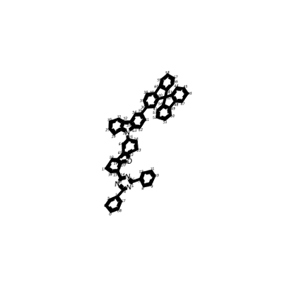 c1ccc(-c2nc(-c3ccccc3)nc(-c3cccc4c3oc3ccc(-n5c6ccccc6c6cc(-c7ccc8c(c7)C7(c9ccccc9-c9ccccc97)c7ccccc7-8)ccc65)cc34)n2)cc1